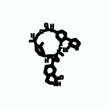 CCn1nccc1-c1ccc2cc1CN(C)C(=O)[C@H](Nc1ccc3cc[nH]c(=O)c3c1)c1ccc(c(C)c1)[C@@H](C)COC(=O)N2